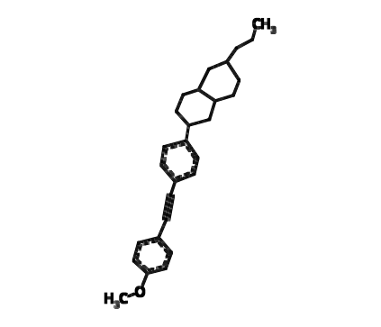 CCCC1CCC2CC(c3ccc(C#Cc4ccc(OC)cc4)cc3)CCC2C1